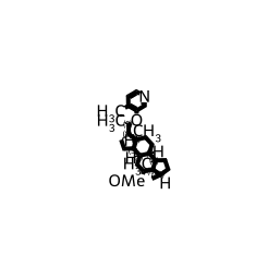 COC1C[C@H]2[C@@H]3CC[C@H]([C@H](C)Oc4cnccc4C)[C@@]3(C)CC[C@@H]2[C@@]2(C)CC[C@@H]3C[C@@]132